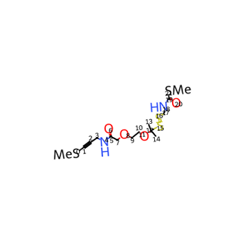 CSC#CCNC(=O)COCCOC(C)(C)SSCNC(=O)SC